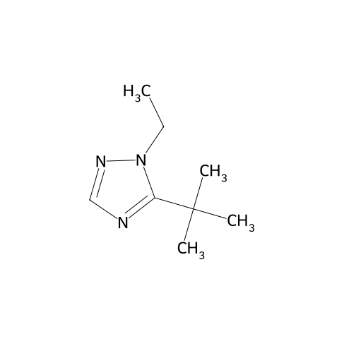 CCn1ncnc1C(C)(C)C